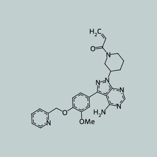 C=CC(=O)N1CCCC(n2nc(-c3ccc(OCc4ccccn4)c(OC)c3)c3c(N)ncnc32)C1